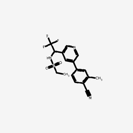 CCS(=O)(=O)NC(c1cncc(-c2ccc(C#N)c(C)c2)c1)C(F)(F)F